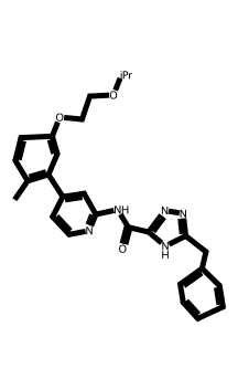 Cc1ccc(OCCOC(C)C)cc1-c1ccnc(NC(=O)c2nnc(Cc3ccccc3)[nH]2)c1